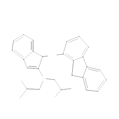 CC(C)CP(CC(C)C)C1=Cc2ccccc2[CH]1[Zr+2][c]1cccc2c1Cc1ccccc1-2.[Cl-].[Cl-]